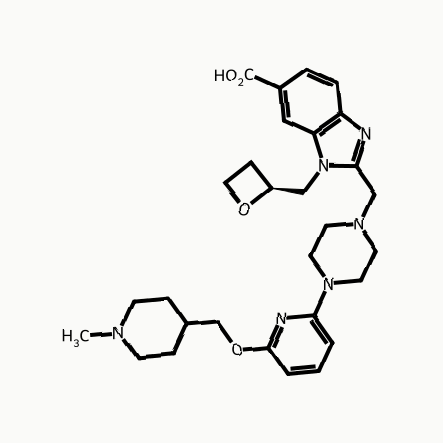 CN1CCC(COc2cccc(N3CCN(Cc4nc5ccc(C(=O)O)cc5n4C[C@@H]4CCO4)CC3)n2)CC1